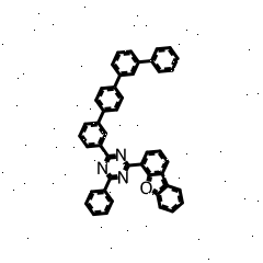 c1ccc(-c2cccc(-c3ccc(-c4cccc(-c5nc(-c6ccccc6)nc(-c6cccc7c6oc6ccccc67)n5)c4)cc3)c2)cc1